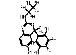 [2H]c1c([2H])c([2H])c(C2(C)OC(NC([2H])([2H])C([2H])([2H])[2H])=Nc3ccc(Cl)cc32)c([2H])c1[2H]